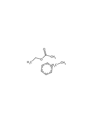 CCOC(C)=O.[CH2]C.c1ccccc1